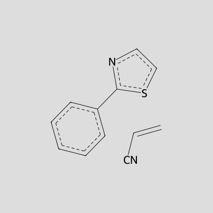 C=CC#N.c1ccc(-c2nccs2)cc1